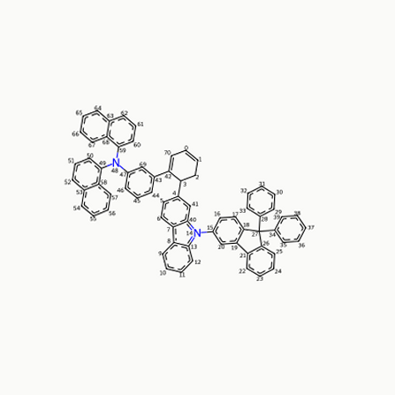 C1=CCC(c2ccc3c4ccccc4n(-c4ccc5c(c4)-c4ccccc4C5(c4ccccc4)c4ccccc4)c3c2)C(c2cccc(N(c3cccc4ccccc34)c3cccc4ccccc34)c2)=C1